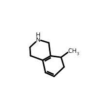 CC1CC=CC2=C1CNCC2